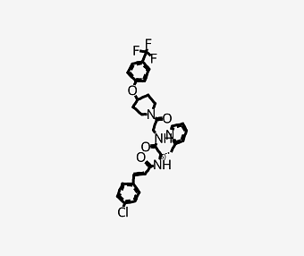 O=C(C=Cc1ccc(Cl)cc1)N[C@@H](Cc1ccccn1)C(=O)NCC(=O)N1CCC(Oc2ccc(C(F)(F)F)cc2)CC1